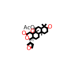 CC(=O)O[C@@H]1CC2C(C)(C)C(=O)CC[C@]2(C)C2CC[C@@]3(C)[C@H](c4ccoc4)OC(=O)C4OC43[C@@]21C